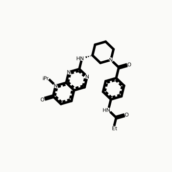 CCC(=O)Nc1ccc(C(=O)N2CCC[C@@H](Nc3ncc4ccc(=O)n(C(C)C)c4n3)C2)cc1